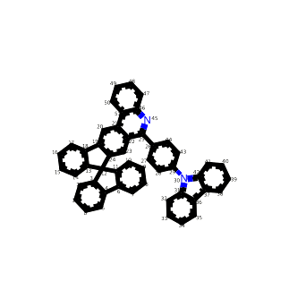 c1ccc2c(c1)-c1ccccc1C21c2ccccc2-c2cc3c(cc21)c(-c1ccc(-n2c4ccccc4c4ccccc42)cc1)nc1ccccc13